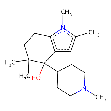 Cc1cc2c(n1C)CCC(C)(C)C2(O)C1CCN(C)CC1